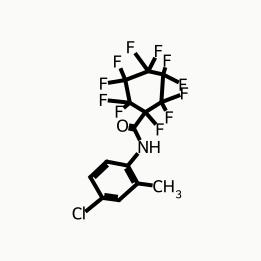 Cc1cc(Cl)ccc1NC(=O)C1(F)C(F)(F)C(F)(F)C(F)(F)C(F)(F)C1(F)F